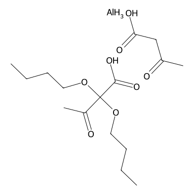 CC(=O)CC(=O)O.CCCCOC(OCCCC)(C(C)=O)C(=O)O.[AlH3]